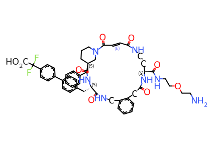 NCCOCCNC(=O)[C@@H]1CCNC(=O)/C=C/C(=O)N2CCC[C@](Cc3ccccc3)(C2)C(=O)N[C@@H](Cc2ccc(-c3ccc(C(F)(F)C(=O)O)cc3)cc2)C(=O)NCc2ccccc2CC(=O)N1